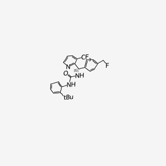 CC(C)(C)c1ccccc1NC(=O)N[C@@H](c1ccc(CF)cc1)c1ncccc1C(F)(F)F